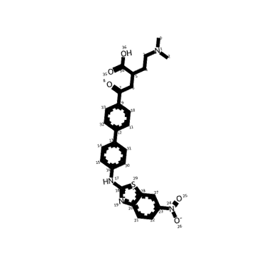 CN(C)CCC(CC(=O)c1ccc(-c2ccc(Nc3nc4ccc([N+](=O)[O-])cc4s3)cc2)cc1)C(=O)O